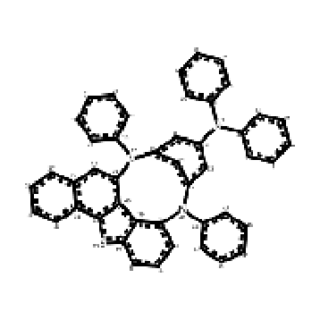 c1ccc(N(c2ccccc2)c2cc3cc(c2)N(c2ccccc2)c2cc4ccccc4c4sc5cccc(c5c24)N3c2ccccc2)cc1